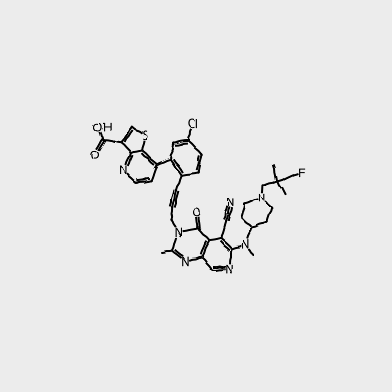 Cc1nc2cnc(N(C)C3CCN(CC(C)(C)F)CC3)c(C#N)c2c(=O)n1CC#Cc1ccc(Cl)cc1-c1ccnc2c(C(=O)O)csc12